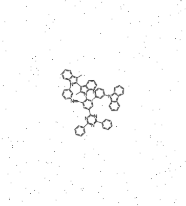 Cc1c(-c2c(C)n(-c3c(C#N)cc(-c4nc(-c5ccccc5)nc(-c5ccccc5)n4)cc3-c3cc(-n4c5ccccc5c5ccccc54)ccn3)c3ccccc23)n(-c2ccccc2)c2ccccc12